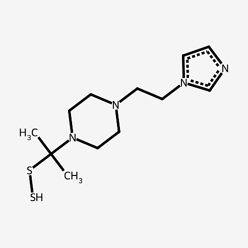 CC(C)(SS)N1CCN(CCn2ccnc2)CC1